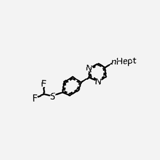 CCCCCCCc1cnc(-c2ccc(SC(F)F)cc2)nc1